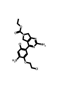 Bc1cc(Cl)c(-c2nc(N)nc3c2CN(C(=O)OCC)C3)cc1OCCCl